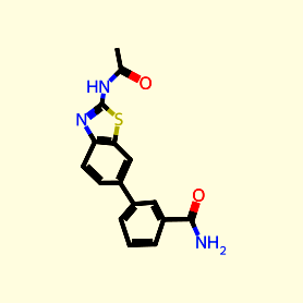 CC(=O)Nc1nc2ccc(-c3cccc(C(N)=O)c3)cc2s1